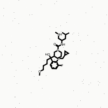 CNCC(CC(C)C)NC(=O)N1CCCC(C(O)(CCCCOC)c2cccc(F)c2OCC2CC2)C1